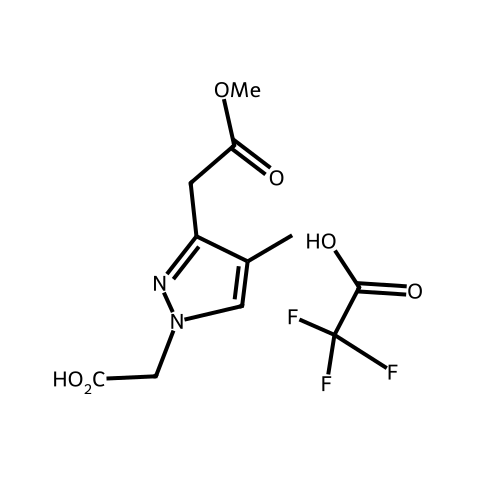 COC(=O)Cc1nn(CC(=O)O)cc1C.O=C(O)C(F)(F)F